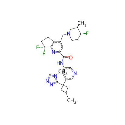 CC1CC(c2cncc(NC(=O)c3cc(CN4CC[C@H](F)[C@H](C)C4)c4c(n3)C(F)(F)CC4)c2)(c2nncn2C)C1